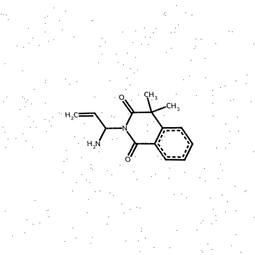 C=CC(N)N1C(=O)c2ccccc2C(C)(C)C1=O